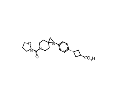 O=C([C@H]1CCCO1)N1CCC2(CC1)C[C@H]2c1ccc([C@H]2C[C@H](C(=O)O)C2)cc1